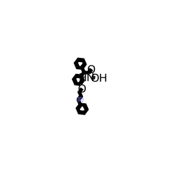 O=C(NO)C(c1ccccc1)c1cccc(OC/C=C/c2ccccc2)c1